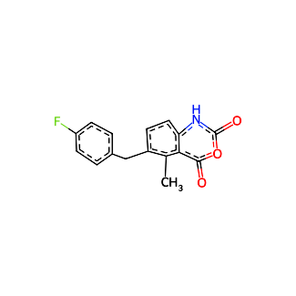 Cc1c(Cc2ccc(F)cc2)ccc2[nH]c(=O)oc(=O)c12